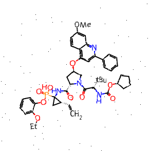 C=C[C@@H]1C[C@]1(NC(=O)[C@@H]1C[C@@H](Oc2cc(-c3ccccc3)nc3cc(OC)ccc23)CN1C(=O)[C@@H](NC(=O)OC1CCCC1)C(C)(C)C)P(=O)(O)Oc1ccccc1OCC